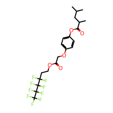 CC(C)CC(C)C(=O)Oc1ccc(OCC(=O)OCCC(F)(F)C(F)(F)C(F)(F)C(F)(F)F)cc1